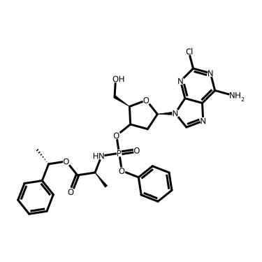 C[C@H](NP(=O)(Oc1ccccc1)OC1C[C@H](n2cnc3c(N)nc(Cl)nc32)O[C@@H]1CO)C(=O)O[C@@H](C)c1ccccc1